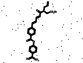 C=CCN(CC(=O)OCC)C(=O)C=CC=Cc1ccc(C(=O)Oc2ccc(C(=N)N)cc2)cc1